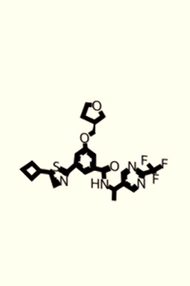 CC(NC(=O)c1cc(OC[C@H]2CCOC2)cc(-c2ncc(C3CCC3)s2)c1)c1cnc(C(F)(F)F)nc1